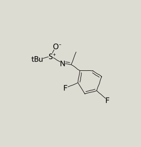 CC(=N[S+]([O-])C(C)(C)C)c1ccc(F)cc1F